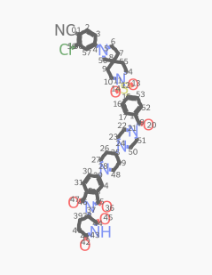 N#Cc1ccc(N2CCC3(CCN(S(=O)(=O)c4ccc(C(=O)N5CCN(C6CCN(c7ccc8c(c7)C(=O)N(C7CCC(=O)NC7=O)C8=O)CC6)CC5)cc4)CC3)C2)cc1Cl